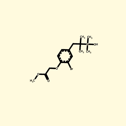 COC(=O)COc1ccc(CC(C)(C)[Si](C)(C)O)cc1Br